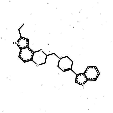 CCc1cc2c3c(ccc2[nH]1)OCC(CN1CC=C(c2c[nH]c4ccccc24)CC1)O3